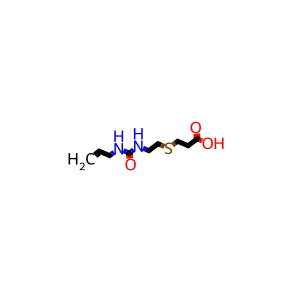 C=CCNC(=O)NCCSCCC(=O)O